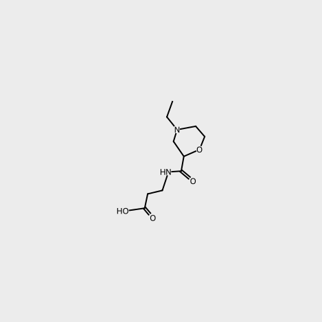 CCN1CCOC(C(=O)NCCC(=O)O)C1